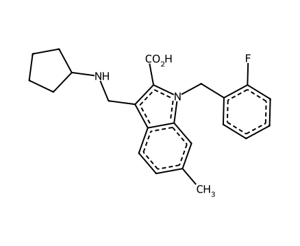 Cc1ccc2c(CNC3CCCC3)c(C(=O)O)n(Cc3ccccc3F)c2c1